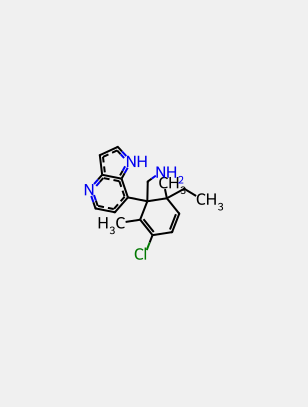 CCC1(C)C=CC(Cl)=C(C)C1(CN)c1ccnc2cc[nH]c12